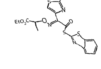 CCOC(=O)C(C)ON=C(C(=O)Sc1nc2ccccc2s1)c1csc(N)n1